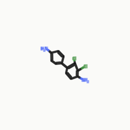 Nc1ccc(-c2ccc(N)c(Cl)c2Cl)cc1